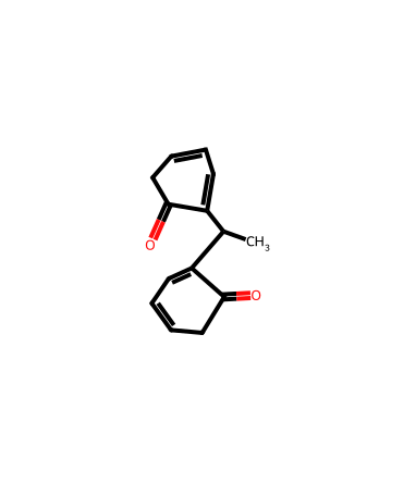 CC(C1=CC=CCC1=O)C1=CC=CCC1=O